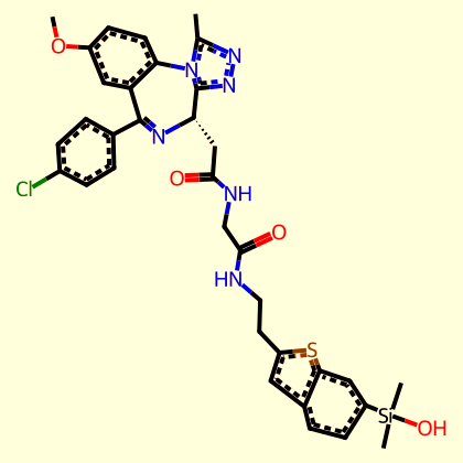 COc1ccc2c(c1)C(c1ccc(Cl)cc1)=N[C@@H](CC(=O)NCC(=O)NCCc1cc3ccc([Si](C)(C)O)cc3s1)c1nnc(C)n1-2